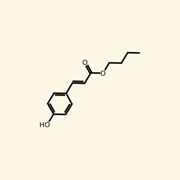 CCCCOC(=O)C=Cc1ccc(O)cc1